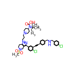 CC(C)(C)N(C(=O)O)C1CCN(CCCn2nc(-c3ccc(Cl)c(C#Cc4ccc(CNCc5ccc(Cl)cc5)cc4)c3)c3c2CCN(S(C)(=O)=O)C3)CC1